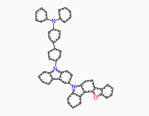 c1ccc(N(c2ccccc2)c2ccc(-c3ccc(-n4c5ccccc5c5cc(-n6c7ccccc7c7c8oc9ccccc9c8ccc76)ccc54)cc3)cc2)cc1